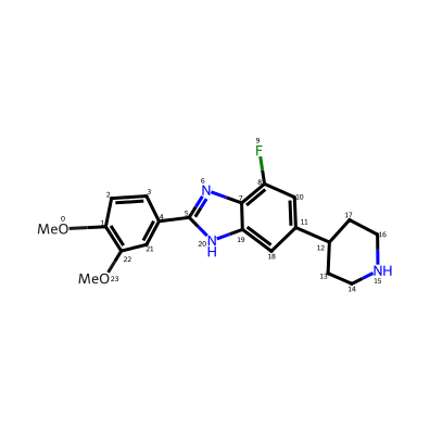 COc1ccc(-c2nc3c(F)cc(C4CCNCC4)cc3[nH]2)cc1OC